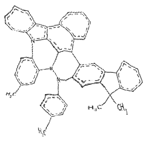 Cc1ccc(N2B3c4cc(C)ccc4-n4c5ccccc5c5c6ccccc6c(c3c54)-c3cc4c(cc32)C(C)(C)c2ccccc2-4)cc1